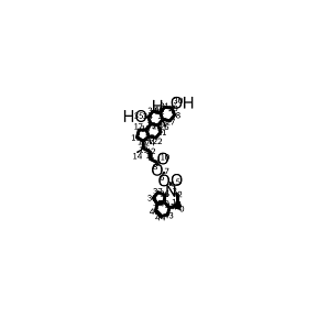 C#CCN(C(=O)OCOC(=O)CC[C@@H](C)C1CCC2C3C(CC[C@@]21C)[C@@]1(C)CC[C@@H](O)C[C@H]1C[C@@H]3O)[C@@H]1CCC2=C1C(C)CC=C2